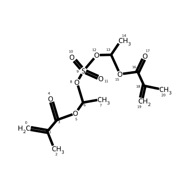 C=C(C)C(=O)OC(C)OS(=O)(=O)OC(C)OC(=O)C(=C)C